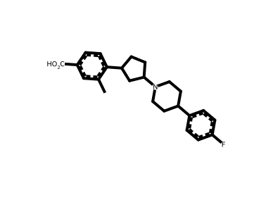 Cc1cc(C(=O)O)ccc1C1CCC(N2CCC(c3ccc(F)cc3)CC2)C1